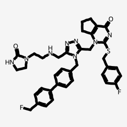 O=C1NCCN1CCNCc1nnc(Cn2c(SCc3ccc(F)cc3)nc(=O)c3c2CCC3)n1Cc1ccc(-c2ccc(CF)cc2)cc1